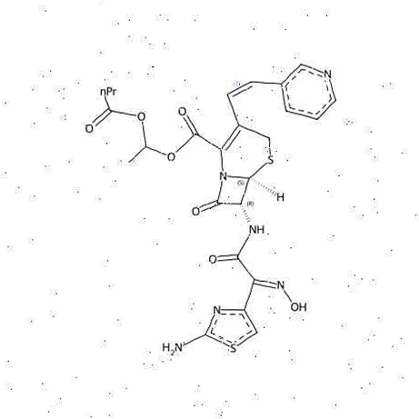 CCCC(=O)OC(C)OC(=O)C1=C(/C=C\c2cccnc2)CS[C@H]2[C@H](NC(=O)C(=NO)c3csc(N)n3)C(=O)N12